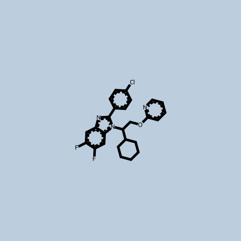 Fc1cc2nc(-c3ccc(Cl)cc3)n(C(COc3ccccn3)C3CCCCC3)c2cc1F